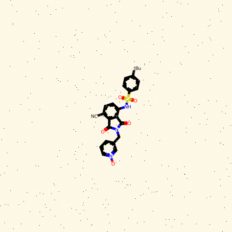 CC(C)(C)c1ccc(S(=O)(=O)Nc2ccc(C#N)c3c2C(=O)N(Cc2ccc[n+]([O-])c2)C3=O)cc1